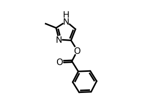 Cc1nc(OC(=O)c2ccccc2)c[nH]1